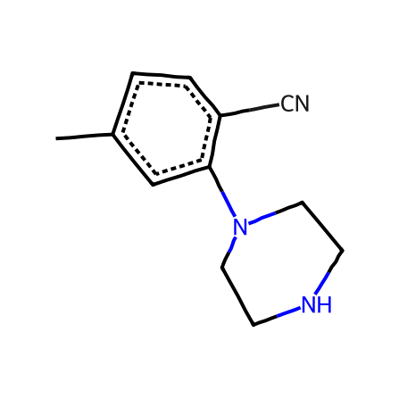 Cc1ccc(C#N)c(N2CCNCC2)c1